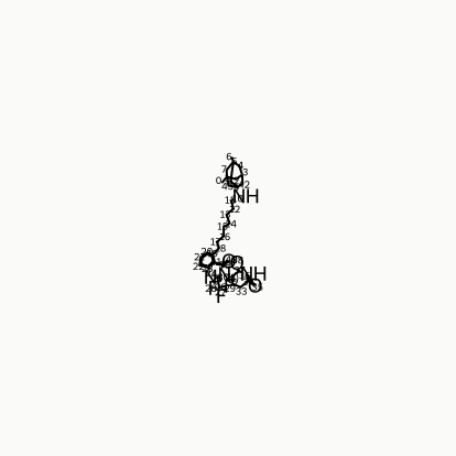 CC12CC3CC(C)(C1)CC(NCCCCCCCCc1cccc4nc(C(F)(F)F)n([C@H]5CCC(=O)NC5=O)c(=O)c14)(C3)C2